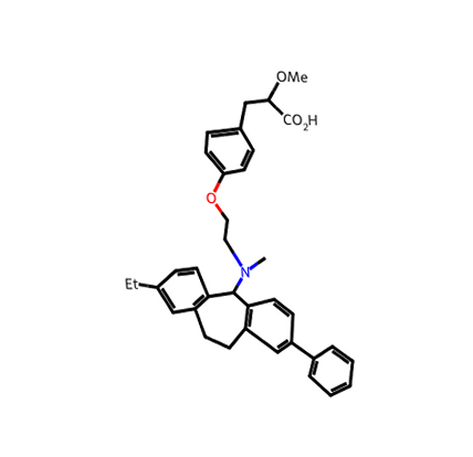 CCc1ccc2c(c1)CCc1cc(-c3ccccc3)ccc1C2N(C)CCOc1ccc(CC(OC)C(=O)O)cc1